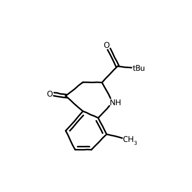 Cc1cccc2c1NC(C(=O)C(C)(C)C)CC2=O